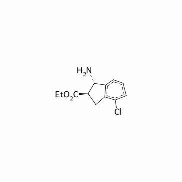 CCOC(=O)[C@@H]1Cc2c(Cl)cccc2[C@H]1N